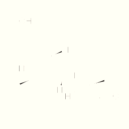 C[C@@H]1C[C@@H]2[C@H](CC[C@]3(C)C(=O)CC[C@@H]23)[C@H]2CCC(C)(O)C[C@@H]21